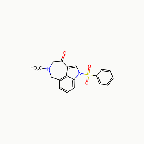 O=C1CN(C(=O)O)Cc2cccc3c2c1cn3S(=O)(=O)c1ccccc1